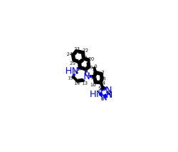 Cc1ccc(-c2nnn[nH]2)cc1N1C=CCNc2c1ccc1ccccc21